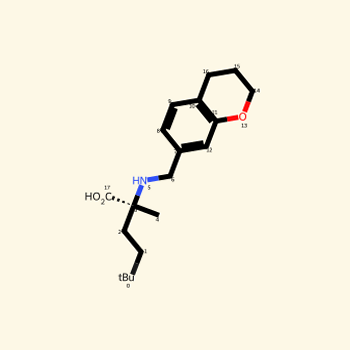 CC(C)(C)CC[C@](C)(NCc1ccc2c(c1)OCCC2)C(=O)O